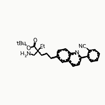 CCC(CN)(CCCc1ccc2nc(-c3ccccc3C#N)ccc2c1)C(=O)OC(C)(C)C